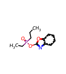 CCCP(=O)(CC)Oc1nc2ccccc2o1